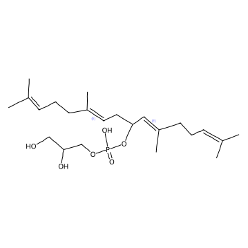 CC(C)=CCC/C(C)=C/CC(/C=C(\C)CCC=C(C)C)OP(=O)(O)OCC(O)CO